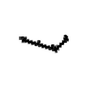 CCC(C)(C)OCCCCCCC(C)(C)OC(=O)OCCCCCOC(=O)OCCCCCCC(C)(C)O